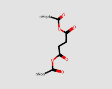 CCCCCCCCCC(=O)OC(=O)CCC(=O)OC(=O)CCCCCCC